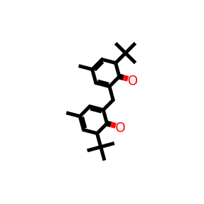 CC1=CC(C(C)(C)C)C(=O)C(CC2=CC(C)=CC(C(C)(C)C)C2=O)=C1